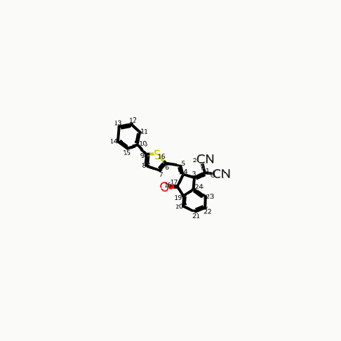 N#CC(C#N)=C1/C(=C/c2ccc(-c3ccccc3)s2)C(=O)c2ccccc21